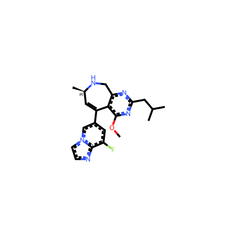 COc1nc(CC(C)C)nc2c1C(c1cc(F)c3nccn3c1)=C[C@@H](C)NC2